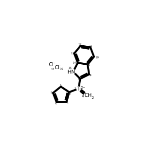 [CH2]=[Ti+2]([C]1=CC=CC1)[c]1cc2ccccc2[nH]1.[Cl-].[Cl-]